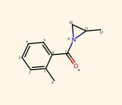 Cc1ccccc1C(=O)N1CC1C